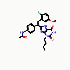 CCCCn1c(=O)[nH]c(=O)c2[nH]c(C(Cc3cc(OC)ccc3F)c3ccc(NC(C)=O)cc3)nc21